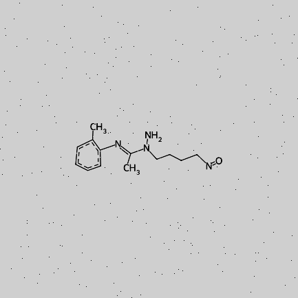 C/C(=N\c1ccccc1C)N(N)CCCCN=O